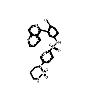 O=S(=O)(Nc1ccc(Cl)c(-c2nccc3ncccc23)c1)c1ccc(N2CCCNS2(=O)=O)cc1